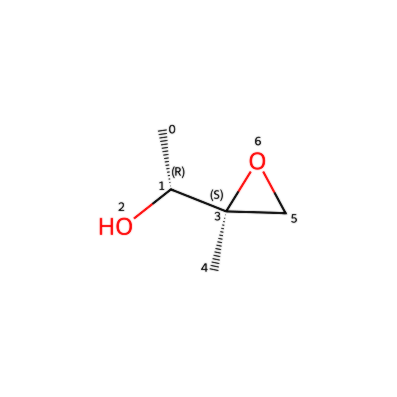 C[C@@H](O)[C@]1(C)CO1